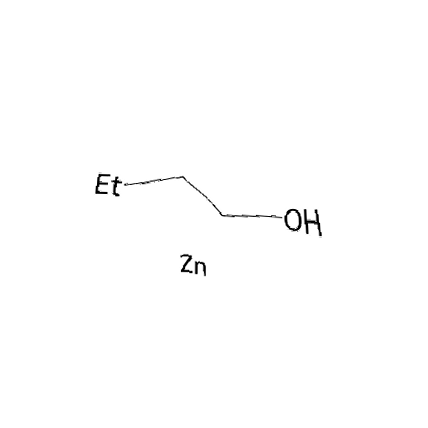 [CH2]CCCO.[Zn]